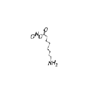 NCCCCCCCC(=O)ON=O